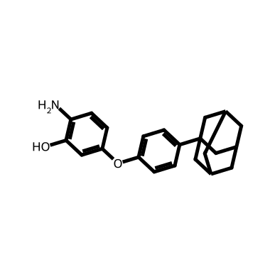 Nc1ccc(Oc2ccc(C34CC5CC(CC(C5)C3)C4)cc2)cc1O